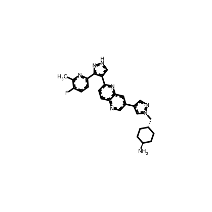 Cc1nc(-c2n[nH]cc2-c2ccc3ncc(-c4cnn(C[C@H]5CC[C@H](N)CC5)c4)cc3n2)ccc1F